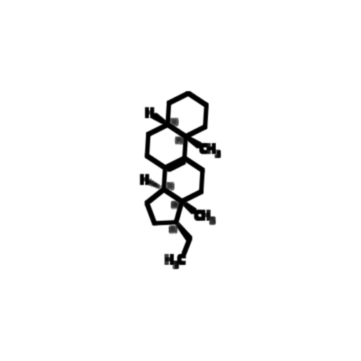 CC[C@H]1CC[C@H]2C3=C(CC[C@]12C)[C@@]1(C)CCCC[C@H]1CC3